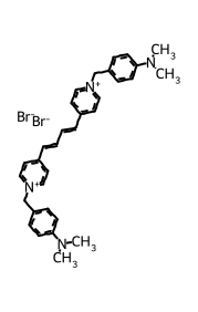 CN(C)c1ccc(C[n+]2ccc(C=CC=Cc3cc[n+](Cc4ccc(N(C)C)cc4)cc3)cc2)cc1.[Br-].[Br-]